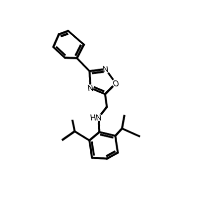 CC(C)c1cccc(C(C)C)c1NCc1nc(-c2ccccc2)no1